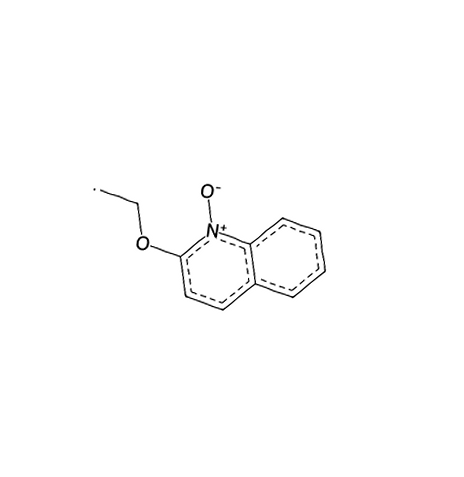 [CH2]COc1ccc2ccccc2[n+]1[O-]